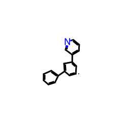 [c]1cc(-c2ccccc2)cc(-c2cccnc2)c1